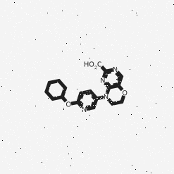 O=C(O)c1ncc2c(n1)N(c1ccc(OC3CCCCC3)nc1)CCO2